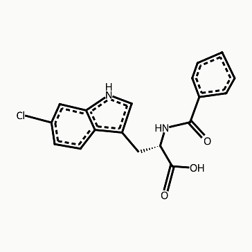 O=C(N[C@@H](Cc1c[nH]c2cc(Cl)ccc12)C(=O)O)c1ccccc1